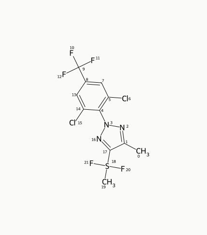 Cc1nn(-c2c(Cl)cc(C(F)(F)F)cc2Cl)nc1S(C)(F)F